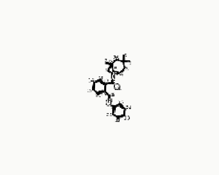 CC1(C)CC2CC(C)(CN2C(=O)c2ccccc2COc2ccccc2)C1